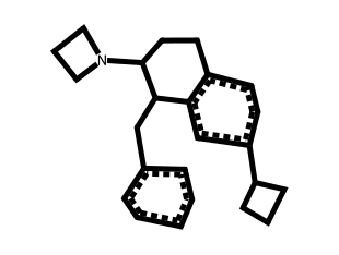 c1ccc(CC2c3cc(C4CCC4)ccc3CCC2N2CCC2)cc1